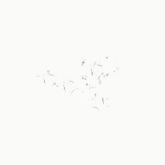 O=C(O)Oc1cc(OC(=O)O)c(C(=O)N(Cc2ccc(-c3ccc(Cl)cc3)cc2)[C@H]2CCCc3ccccc32)cc1OC(=O)O